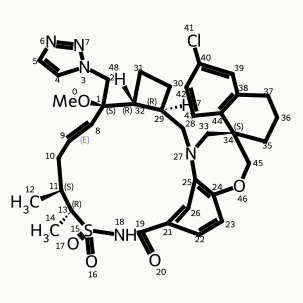 CO[C@]1(Cn2ccnn2)/C=C/C[C@H](C)[C@@H](C)S(=O)(=O)NC(=O)c2ccc3c(c2)N(C[C@@H]2CC[C@H]21)C[C@@]1(CCCc2cc(Cl)ccc21)CO3